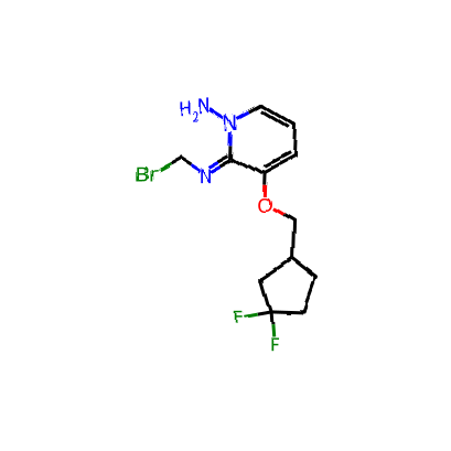 Nn1cccc(OCC2CCC(F)(F)C2)/c1=N/CBr